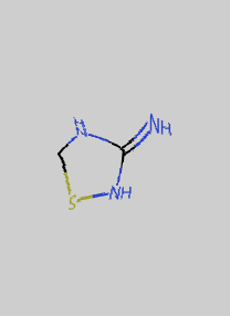 N=C1NCSN1